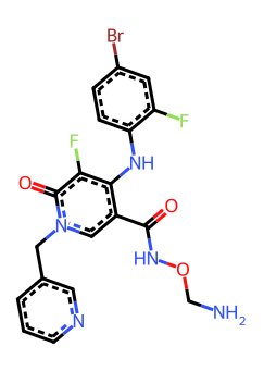 NCONC(=O)c1cn(Cc2cccnc2)c(=O)c(F)c1Nc1ccc(Br)cc1F